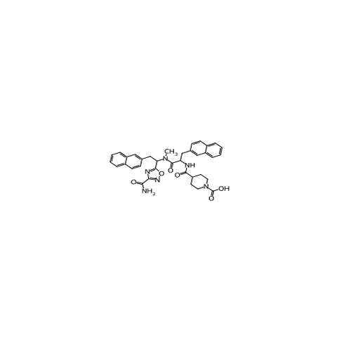 CN(C(=O)C(Cc1ccc2ccccc2c1)NC(=O)C1CCN(C(=O)O)CC1)C(Cc1ccc2ccccc2c1)c1nc(C(N)=O)no1